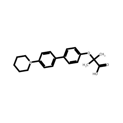 CC(C)(Oc1ccc(-c2ccc(N3CCCCC3)cc2)cc1)C(=O)O